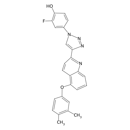 Cc1ccc(Oc2cccc3nc(-c4cn(-c5ccc(O)c(F)c5)nn4)ccc23)cc1C